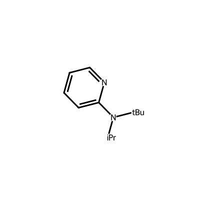 CC(C)N(c1ccccn1)C(C)(C)C